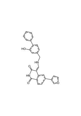 O=C1NC(=O)c2ccc(-c3ccoc3)cc2C1=CNCc1ccc(-c2ccccc2)c(O)c1